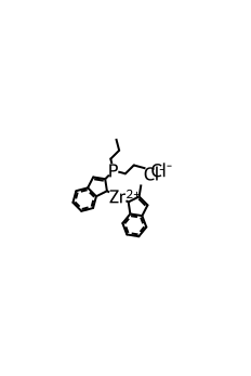 CCCP(CCC)C1=Cc2ccccc2[CH]1[Zr+2][CH]1C(C)=Cc2ccccc21.[Cl-].[Cl-]